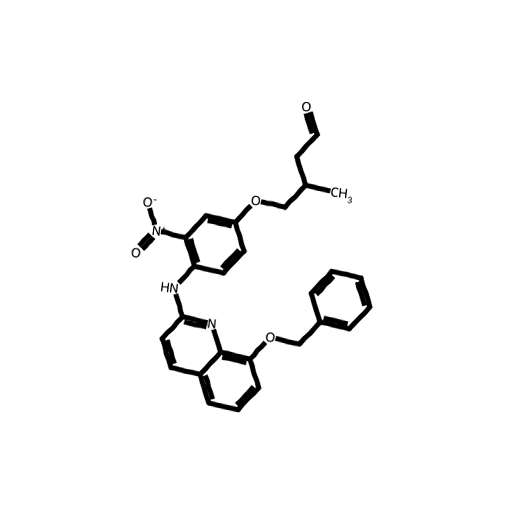 CC(CC=O)COc1ccc(Nc2ccc3cccc(OCc4ccccc4)c3n2)c([N+](=O)[O-])c1